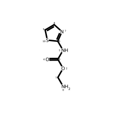 NCOC(=O)Nc1nccs1